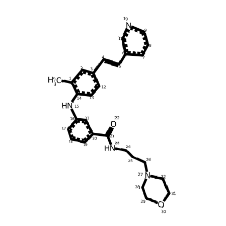 Cc1cc(/C=C/c2cccnc2)ccc1Nc1cccc(C(=O)NCCCN2CCOCC2)c1